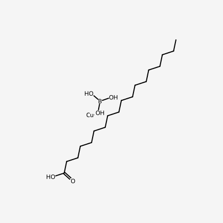 CCCCCCCCCCCCCCCCCC(=O)O.OB(O)O.[Cu]